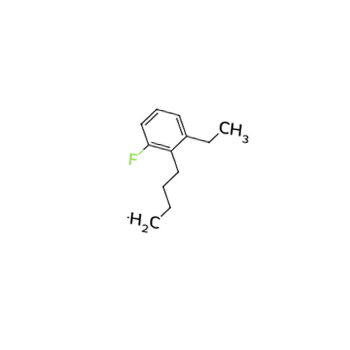 [CH2]CCCc1c(F)cccc1CC